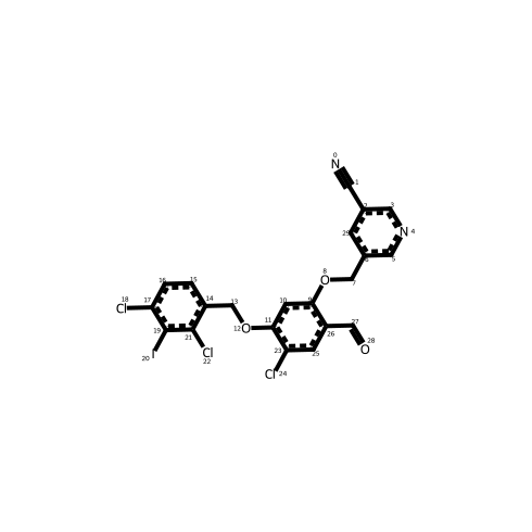 N#Cc1cncc(COc2cc(OCc3ccc(Cl)c(I)c3Cl)c(Cl)cc2C=O)c1